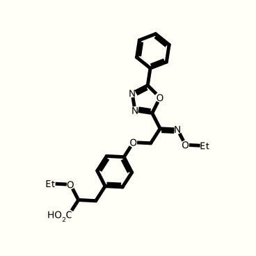 CCO/N=C(\COc1ccc(CC(OCC)C(=O)O)cc1)c1nnc(-c2ccccc2)o1